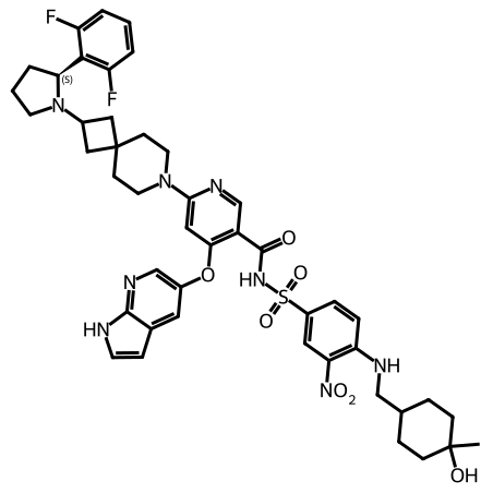 CC1(O)CCC(CNc2ccc(S(=O)(=O)NC(=O)c3cnc(N4CCC5(CC4)CC(N4CCC[C@H]4c4c(F)cccc4F)C5)cc3Oc3cnc4[nH]ccc4c3)cc2[N+](=O)[O-])CC1